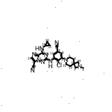 CN1CC2(CCN(c3cc(C#N)cc(Nc4nc(NC5CC5)c5ncc(C#N)n5n4)c3Cl)CC2)C1